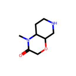 CN1C(=O)COC2CNCCC21